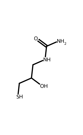 NC(=O)NCC(O)CS